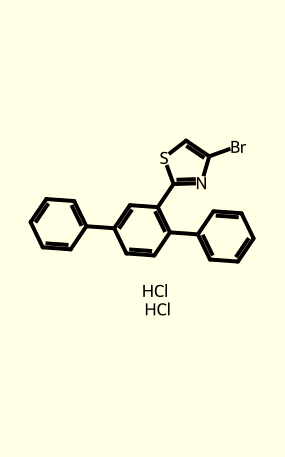 Brc1csc(-c2cc(-c3ccccc3)ccc2-c2ccccc2)n1.Cl.Cl